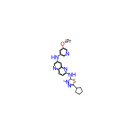 CC(C)Oc1cncc(Nc2cnc3ccc(NC4SC(C5CCCC5)=NN4C)nc3c2)c1